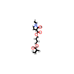 C=CN1CCC(C(=O)OCCCCOC(=O)/C(C)=C\C)C1=O